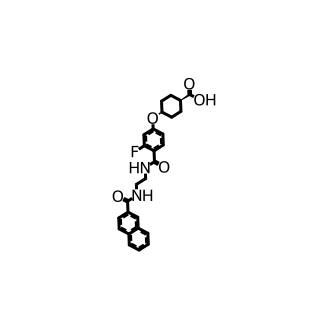 O=C(NCCNC(=O)c1ccc(O[C@H]2CC[C@H](C(=O)O)CC2)cc1F)c1ccc2ccccc2c1